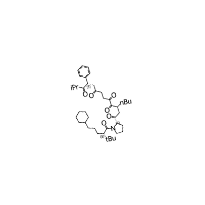 CCCCC(CC(=O)[C@@H]1CCCN1C(=O)[C@@H](CCCC1CCCCC1)C(C)(C)C)C(=O)C(=O)CCC(=O)C[C@H](C(=O)C(C)C)c1ccccc1